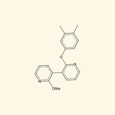 COc1ncccc1-c1cccnc1Oc1ccc(C)c(C)c1